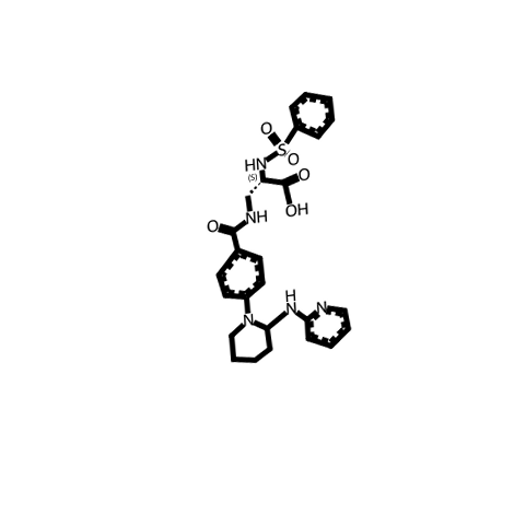 O=C(NC[C@H](NS(=O)(=O)c1ccccc1)C(=O)O)c1ccc(N2CCCCC2Nc2ccccn2)cc1